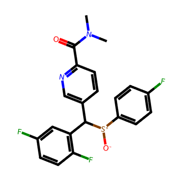 CN(C)C(=O)c1ccc(C(c2cc(F)ccc2F)[S+]([O-])c2ccc(F)cc2)cn1